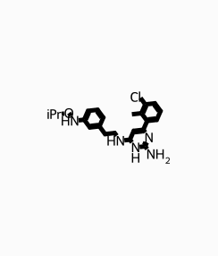 Cc1c(Cl)cccc1C1=CC(NCCc2cccc(NOC(C)C)c2)NC(N)=N1